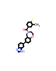 Cc1cc(C(=O)N2CCOc3ccc(-c4ccc5nc[nH]c5c4)cc3C2)ccc1F